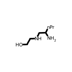 CCCC(N)CNCCO